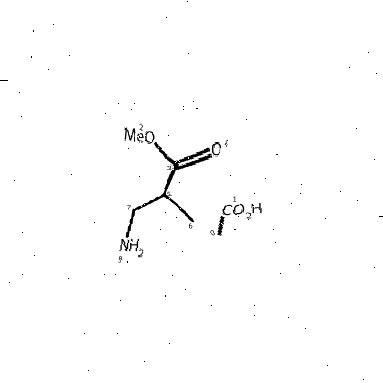 CC(=O)O.COC(=O)C(C)CN